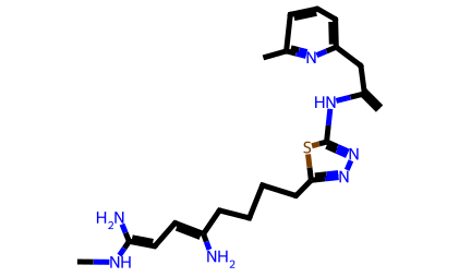 C=C(Cc1cccc(C)n1)Nc1nnc(CCCC/C(N)=C/C=C(\N)NC)s1